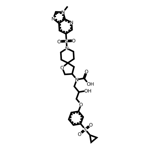 Cn1cnc2cc(S(=O)(=O)N3CCC4(CC3)CC(N(CC(O)COc3cccc(S(=O)(=O)C5CC5)c3)C(=O)O)CO4)cnc21